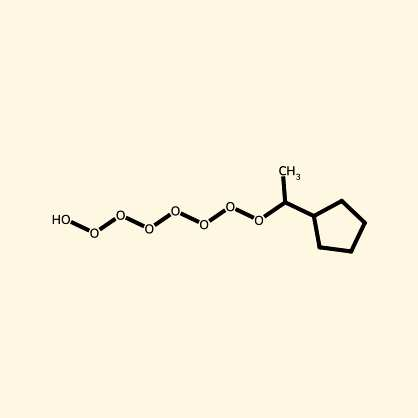 CC(OOOOOOOO)C1CCCC1